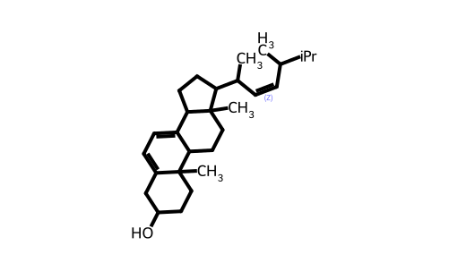 CC(C)C(C)/C=C\C(C)C1CCC2C3=CC=C4CC(O)CCC4(C)C3CCC21C